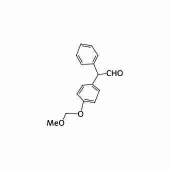 COCOc1ccc(C(C=O)c2ccccc2)cc1